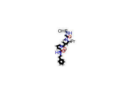 C/C(=C\[C@H](C(C)C)N(C)C(=O)CNC=O)C(=O)N1CCC[C@H]1C(=O)NCCc1ccccc1